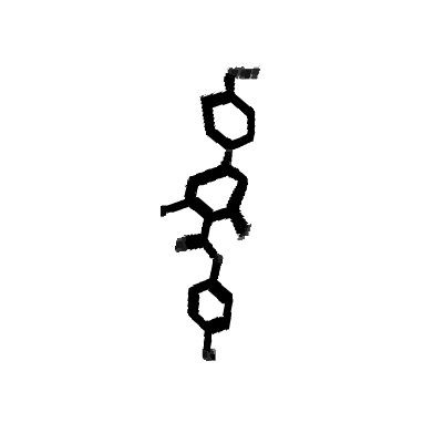 CCCCC[C@H]1CC[C@H](c2cc(F)c(C(=O)Oc3ccc(C#N)cc3)c(F)c2)CC1